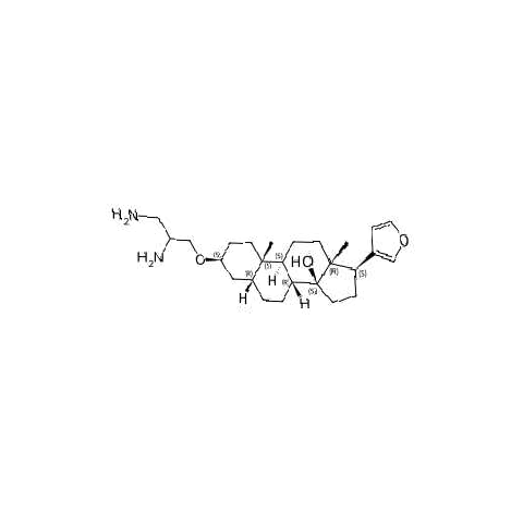 C[C@]12CC[C@H](OCC(N)CN)C[C@H]1CC[C@@H]1[C@@H]2CC[C@]2(C)[C@@H](c3ccoc3)CC[C@]12O